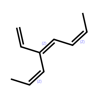 C=CC(/C=C\C)=C/C=C\C